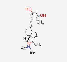 C=C1C(=CC=C2CCC[C@]3(C)C([C@H](C)ON(CC(C)C)C(C)=O)=CCC23)C[C@@H](O)C[C@@H]1O